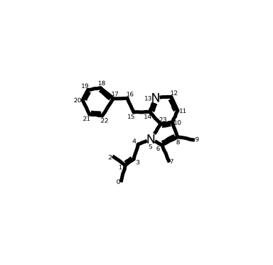 CC(C)=CCn1c(C)c(C)c2ccnc(CCc3ccccc3)c21